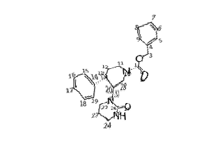 O=C(OCc1ccccc1)N1CC[C@@H](c2ccccc2)[C@H](N2CCCNC2=O)C1